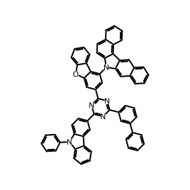 c1ccc(-c2cccc(-c3nc(-c4cc(-n5c6cc7ccccc7cc6c6c7ccccc7ccc65)c5c(c4)oc4ccccc45)nc(-c4ccc5c(c4)c4ccccc4n5-c4ccccc4)n3)c2)cc1